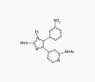 CCn1c(SC)nc(-c2ccnc(NC(C)=O)c2)c1-c1cccc([N+](=O)[O-])c1